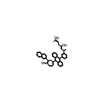 C/C(O)=C\C/C(O)=C/C(C)c1cccc(-c2c3ccccc3c(C3=CC=CC(N=O)=C(c4ccc5ccccc5c4)C3)c3ccccc23)c1